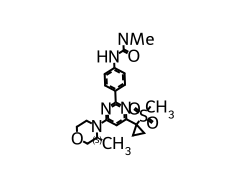 CNC(=O)Nc1ccc(-c2nc(N3CCOC[C@@H]3C)cc(C3(S(C)(=O)=O)CC3)n2)cc1